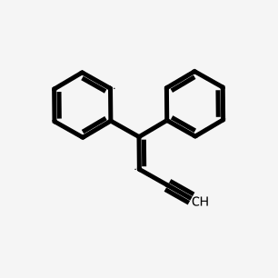 C#C[C]=C(c1[c]cccc1)c1ccccc1